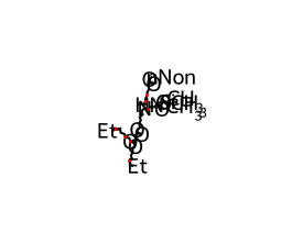 CC/C=C\CCCCOC(CCC(=O)OCCCCCCN(CCCCCCCC(=O)OCCCCCCCCC)CCCNC(=O)OCC[Si](C)(C)C)OCCCC/C=C\CC